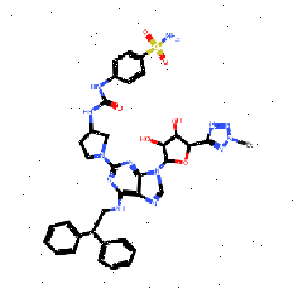 CCn1nnc(C2OC(n3cnc4c(NCC(c5ccccc5)c5ccccc5)nc(N5CCC(NC(=O)Nc6ccc(S(N)(=O)=O)cc6)C5)nc43)C(O)C2O)n1